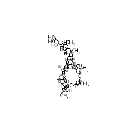 C=CCOC1(O)C[C@]23CC[C@H]4CC(=C)[C@H](CC[C@H]5C[C@@H](C)C(=C)[C@@H](C[C@@H]6O[C@H]7C[C@H]8O[C@@]9(C[C@@H]%10O[C@]%11(C[C@H](C)[C@@H]%12O[C@H]([C@@H](O)C[C@@H](O)CO)C[C@@H]%12O%11)C[C@H](C)[C@@H]%10O9)C[C@H]8O[C@H]7[C@H](C)[C@H]6OC(=O)C[C@H]6CC[C@@H]7O[C@H](C[C@@H](O2)[C@H]7O6)[C@H]1O3)O5)O4